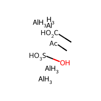 CC(=O)O.CC(C)=O.O=S(=O)(O)O.[AlH3].[AlH3].[AlH3].[AlH3]